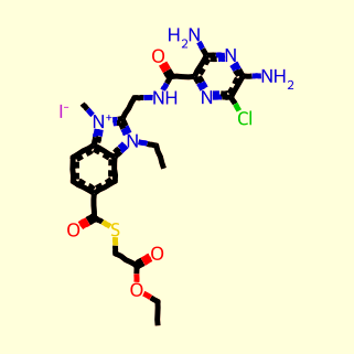 CCOC(=O)CSC(=O)c1ccc2c(c1)n(CC)c(CNC(=O)c1nc(Cl)c(N)nc1N)[n+]2C.[I-]